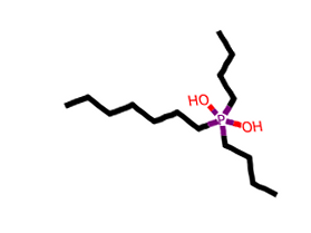 CCCCCCCP(O)(O)(CCCC)CCCC